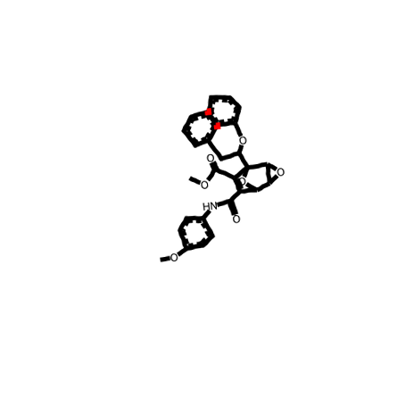 COC(=O)C1=C(C(=O)Nc2ccc(OC)cc2)C2OC1(C(Cc1ccccc1)Oc1ccccc1)C1OC21